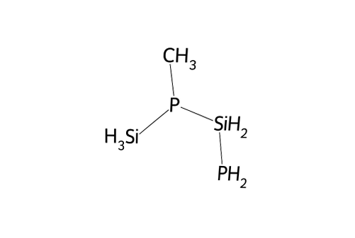 CP([SiH3])[SiH2]P